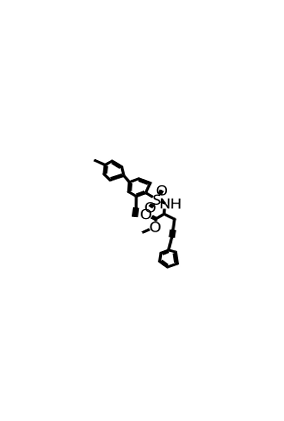 C#Cc1cc(-c2ccc(C)cc2)ccc1S(=O)(=O)NC(CC#Cc1ccccc1)C(=O)OC